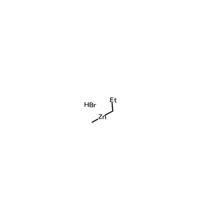 Br.CC[CH2][Zn][CH3]